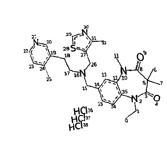 CCN1C(=O)C(C)(C)C(=O)N(C)c2cc(CN(CCc3cnccc3C)Cc3scnc3C)ccc21.Cl.Cl.Cl